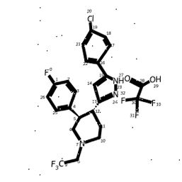 Fc1ccc([C@@H]2CN(CC(F)(F)F)CC[C@H]2c2cc(-c3ccc(Cl)cc3)[nH]n2)cc1.O=C(O)C(F)(F)F